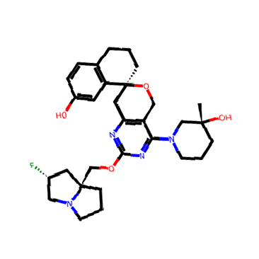 C[C@@]1(O)CCCN(c2nc(OC[C@@]34CCCN3C[C@H](F)C4)nc3c2CO[C@@]2(CCCc4ccc(O)cc42)C3)C1